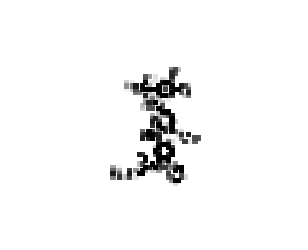 C=CC(=O)Nc1cc(Nc2nccc(Nc3cc(Cl)c(F)cc3C(C)(O)C(F)(F)F)n2)c(OC)cc1N1CCCC1